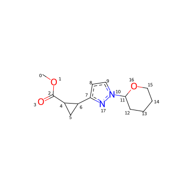 COC(=O)C1CC1c1ccn(C2CCCCO2)n1